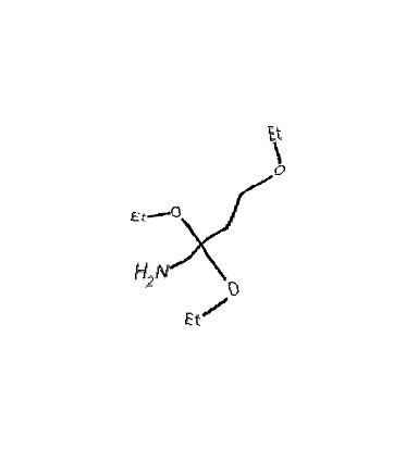 CCOCCC(N)(OCC)OCC